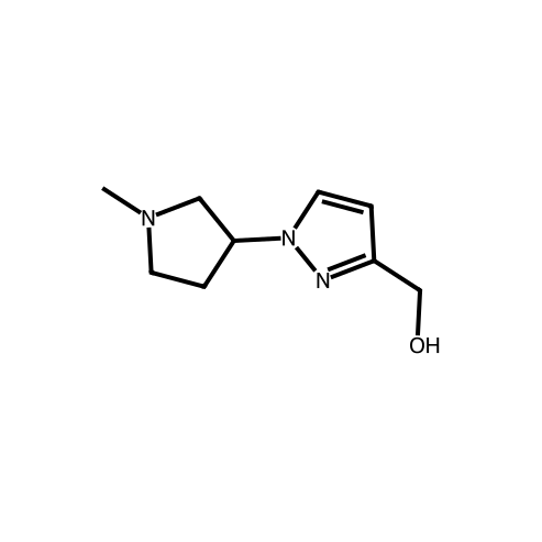 CN1CCC(n2ccc(CO)n2)C1